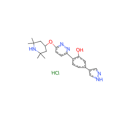 CC1(C)CC(Oc2ccc(-c3ccc(-c4cn[nH]c4)cc3O)nn2)CC(C)(C)N1.Cl